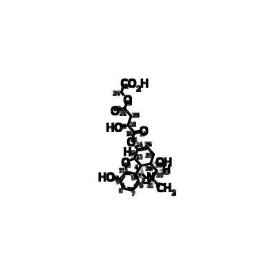 CN1CC[C@]23c4c5ccc(O)c4O[C@H]2C(OC(=O)[C@@H](O)CC(=O)OCC(=O)O)=CC[C@@]3(O)[C@H]1C5